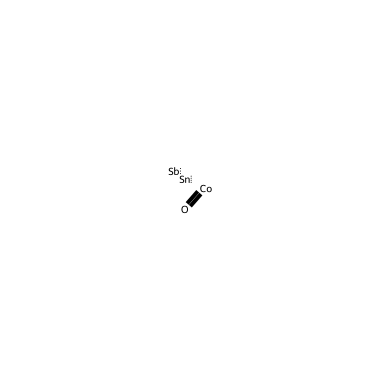 [O]=[Co].[Sb].[Sn]